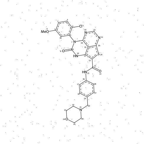 COc1ccc(Cl)c(N2C(=O)Nc3c(C(=O)Nc4ccc(CN5CCOCC5)cc4)sc4ncnc2c34)c1